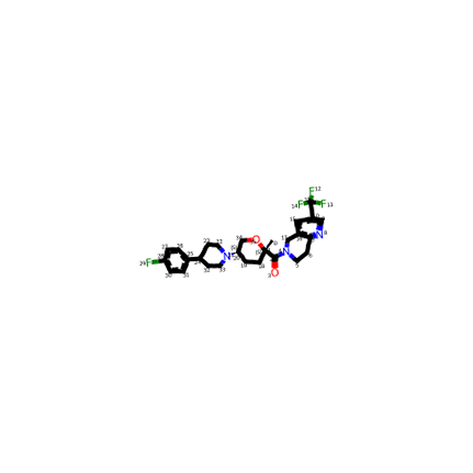 C[C@@]1(C(=O)N2CCc3ncc(C(F)(F)F)cc3C2)CC[C@H](N2CCC(c3ccc(F)cc3)CC2)CO1